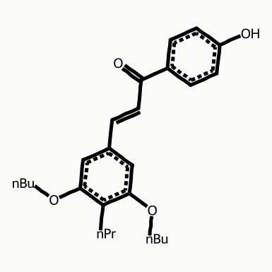 CCCCOc1cc(C=CC(=O)c2ccc(O)cc2)cc(OCCCC)c1CCC